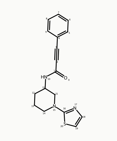 O=C(C#Cc1ccccc1)NC1CCCN(c2nccs2)C1